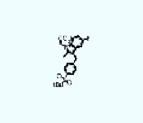 Cc1c(Cc2ccc(S(=O)(=O)C(C)(C)C)cc2)c2cc(F)ccc2n1CC(=O)O